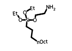 CCCCCCCCCCC[Si](OCC)(OCC)OCCN